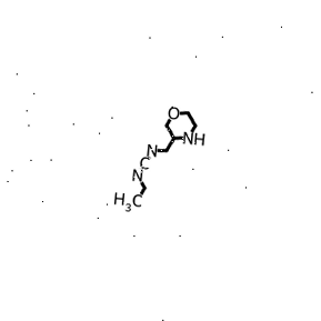 CCN=C=NCC1COCCN1